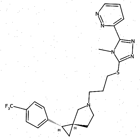 Cn1c(SCCCN2CC[C@]3(C[C@@H]3c3ccc(C(F)(F)F)cc3)C2)nnc1-c1cccnn1